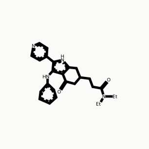 CCN(CC)C(=O)CCC1CC(=O)c2c([nH]c(-c3ccncc3)c2Nc2ccccc2)C1